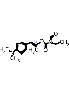 CCN(C=O)C(=O)O/C(C)=C/c1ccc(N(C)C)cc1